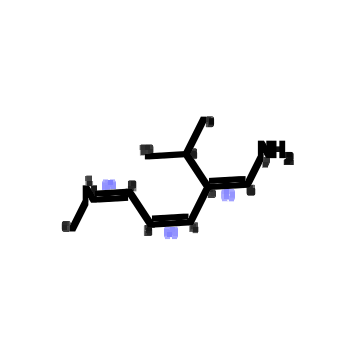 C\N=C/C=C\C(=C\N)C(C)C